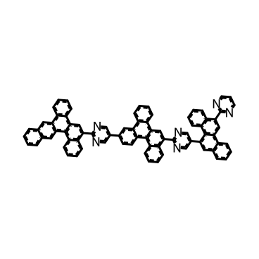 c1cnc(-c2cc3c4ccccc4cc(-c4cnc(-c5cc6c7ccccc7c7cc(-c8cnc(-c9cc%10c%11ccccc%11c%11cc%12ccccc%12cc%11c%10c%10ccccc9%10)nc8)ccc7c6c6ccccc56)nc4)c3c3ccccc23)nc1